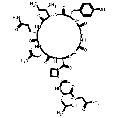 CC[C@H](C)[C@@H]1NC(=O)[C@H](Cc2ccc(O)cc2)NC(=O)CNC(=O)CC[C@@H](C(=O)N2CC[C@H]2C(=O)N[C@@H](CC(C)C)C(=O)NCC(N)=O)NC(=O)[C@H](CC(N)=O)NC(=O)[C@H](CCC(N)=O)NC1=O